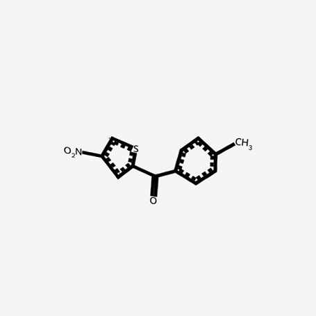 Cc1ccc(C(=O)c2cc([N+](=O)[O-])[c]s2)cc1